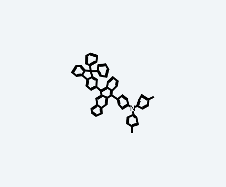 Cc1ccc(N(c2ccc(C)cc2)c2ccc(-c3c4ccccc4c(-c4ccc5c(c4)C(c4ccccc4)(c4ccccc4)c4ccccc4-5)c4cc5ccccc5cc34)cc2)cc1